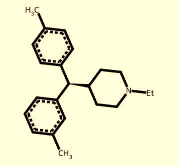 CCN1CCC([C@H](c2ccc(C)cc2)c2cccc(C)c2)CC1